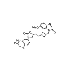 COc1ccc2ncc(=O)n(CC3CN(CCC4CN(c5ccc6c(c5)NC(=O)CS6)C(=O)O4)C3)c2c1